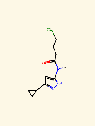 CN(C(=O)CCCCl)c1cc(C2CC2)n[nH]1